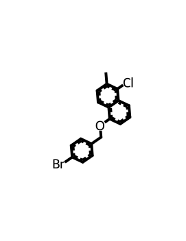 Cc1ccc2c(OCc3ccc(Br)cc3)cccc2c1Cl